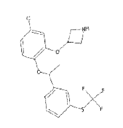 CC(Oc1ccc(Cl)cc1OC1CNC1)c1cccc(SC(F)(F)F)c1